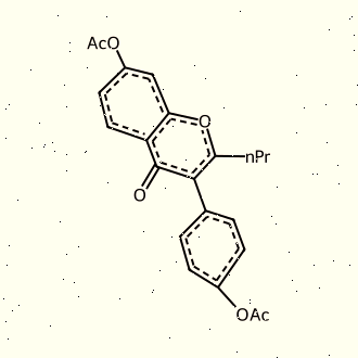 CCCc1oc2cc(OC(C)=O)ccc2c(=O)c1-c1ccc(OC(C)=O)cc1